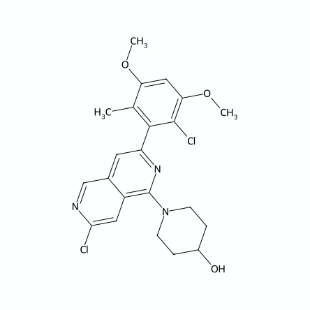 COc1cc(OC)c(Cl)c(-c2cc3cnc(Cl)cc3c(N3CCC(O)CC3)n2)c1C